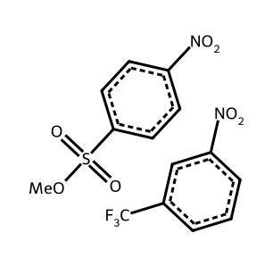 COS(=O)(=O)c1ccc([N+](=O)[O-])cc1.O=[N+]([O-])c1cccc(C(F)(F)F)c1